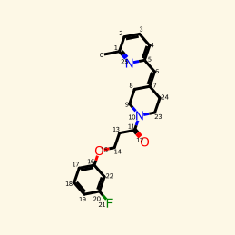 Cc1cccc(C=C2CCN(C(=O)CCOc3cccc(F)c3)CC2)n1